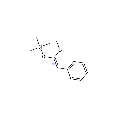 CO/C(=C\c1ccccc1)O[Si](C)(C)C